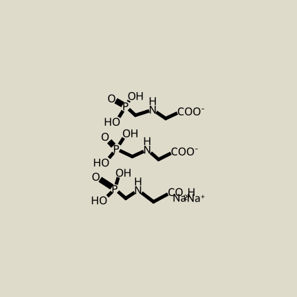 O=C(O)CNCP(=O)(O)O.O=C([O-])CNCP(=O)(O)O.O=C([O-])CNCP(=O)(O)O.[Na+].[Na+]